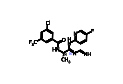 C[C@H](NC(=O)c1cc(Cl)cc(C(F)(F)F)c1)/C(=N/C=N)Nc1ccc(F)cn1